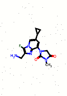 CN1C(=O)CN(c2cc(C3CC3)cn3c(F)c(CN)nc23)C1=O